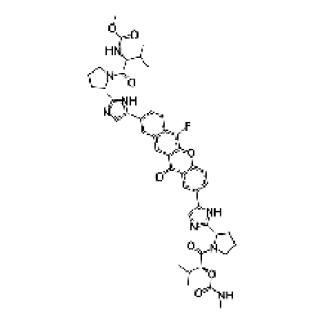 CNC(=O)O[C@H](C(=O)N1CCC[C@H]1c1ncc(-c2ccc3oc4c(F)c5ccc(-c6cnc([C@@H]7CCCN7C(=O)[C@@H](NC(=O)OC)C(C)C)[nH]6)cc5cc4c(=O)c3c2)[nH]1)C(C)C